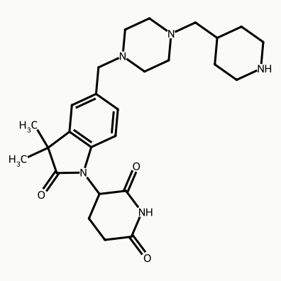 CC1(C)C(=O)N(C2CCC(=O)NC2=O)c2ccc(CN3CCN(CC4CCNCC4)CC3)cc21